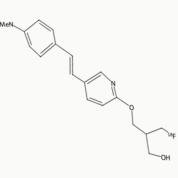 CNc1ccc(/C=C/c2ccc(OCC(CO)C[18F])nc2)cc1